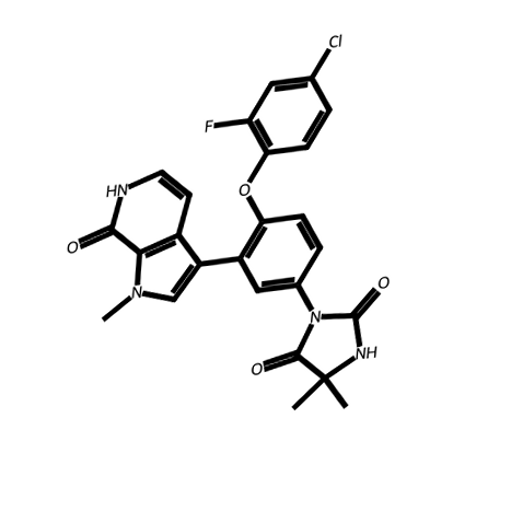 Cn1cc(-c2cc(N3C(=O)NC(C)(C)C3=O)ccc2Oc2ccc(Cl)cc2F)c2cc[nH]c(=O)c21